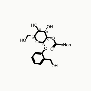 CCCCCCCCCC(=O)O[C@H]1[C@H](Oc2ccccc2CO)O[C@H](CO)[C@@H](O)[C@@H]1O